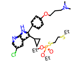 CCOP(=O)(OCC)SCCSCC.CN(C)CCCOc1ccc(-c2[nH]c3ncc(Cl)cc3c2C2CC2)cc1